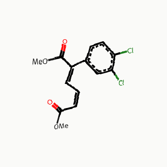 COC(=O)/C=C\C=C(\C(=O)OC)c1ccc(Cl)c(Cl)c1